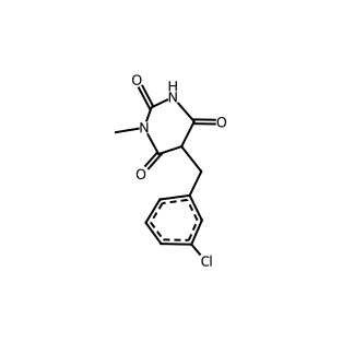 CN1C(=O)NC(=O)C(Cc2cccc(Cl)c2)C1=O